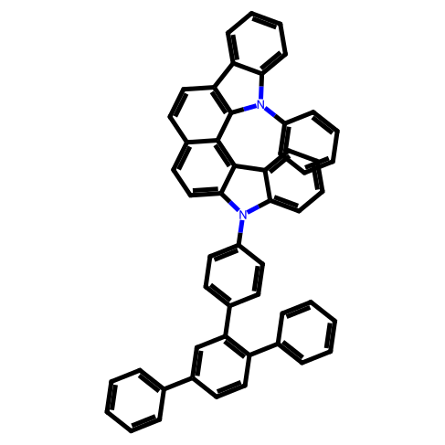 c1ccc(-c2ccc(-c3ccccc3)c(-c3ccc(-n4c5ccccc5c5c6c(ccc7c8ccccc8n(-c8ccccc8)c76)ccc54)cc3)c2)cc1